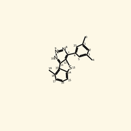 Cc1cc(C)cc(-c2nnnc3c2sc2cccc(C)c23)c1